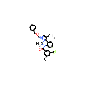 Cc1cc(C(=O)N(C)c2ccccc2-c2nn(COCc3ccccc3)cc2C)cc(C(F)(F)F)c1